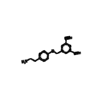 COc1cc(COc2ccc(CCN)cc2)cc(OC)c1